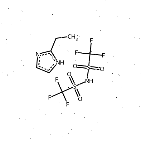 CCc1ncc[nH]1.O=S(=O)(NS(=O)(=O)C(F)(F)F)C(F)(F)F